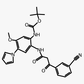 COc1cc(NC(=O)OC(C)(C)C)c(NC(=O)CC(=O)c2cccc(C#N)c2)cc1-n1cccc1